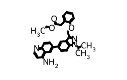 CCOC(=O)Cc1ccccc1OCc1nn(C(C)C)c2ccc(-c3ccc4nccc(N)c4c3)cc12